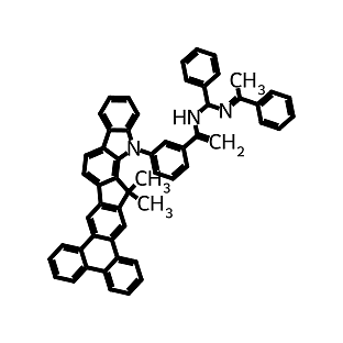 C=C(NC(/N=C(\C)c1ccccc1)c1ccccc1)c1cccc(-n2c3ccccc3c3ccc4c(c32)C(C)(C)c2cc3c5ccccc5c5ccccc5c3cc2-4)c1